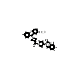 Cl.O=C(C1CN(C(c2ccccc2)c2ccccc2)C1)N1CCC(N2Cc3ccccc3NC2=O)CC1